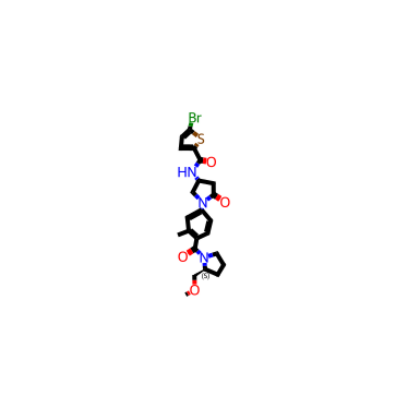 COC[C@@H]1CCCN1C(=O)c1ccc(N2CC(NC(=O)c3ccc(Br)s3)CC2=O)cc1C